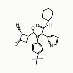 CC(C)(C)c1ccc(N(C(=O)C2CC(=O)N2C#N)C(C(=O)NC2CCCCC2)c2cccnc2)cc1